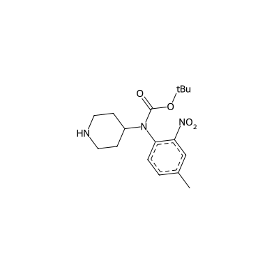 Cc1ccc(N(C(=O)OC(C)(C)C)C2CCNCC2)c([N+](=O)[O-])c1